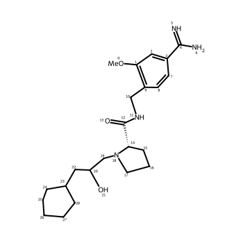 COc1cc(C(=N)N)ccc1CNC(=O)[C@@H]1CCCN1CC(O)CC1CCCCC1